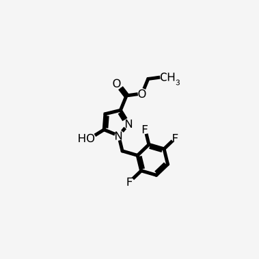 CCOC(=O)c1cc(O)n(Cc2c(F)ccc(F)c2F)n1